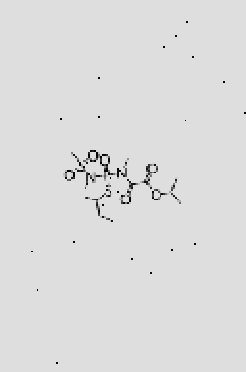 CCC(C)SP(=O)(N(C)C(=O)C(=O)OC(C)C)N(C)S(C)(=O)=O